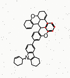 C1=CC(n2c3c(c4cc(-c5ccc6c(c5)Oc5ccccc5C6C5C6=C(CCC=C6)OC6CCC=C(c7ccccc7)C65)ccc42)CCCC3)CCC1